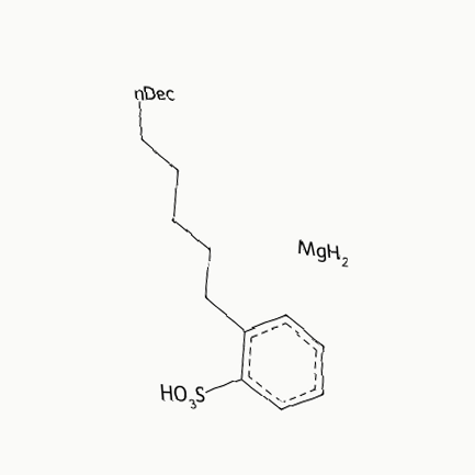 CCCCCCCCCCCCCCCc1ccccc1S(=O)(=O)O.[MgH2]